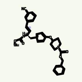 CC(C)(C)OC(=O)N[C@H](/C=C/c1cccc(C#N)c1)Cc1ccc(OC2CCN(C(=O)OCc3ccccc3)CC2)cc1